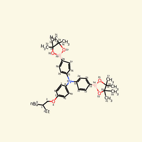 CCCCC(CC)COc1ccc(N(c2ccc(B3OC(C)(C)C(C)(C)O3)cc2)c2ccc(B3OC(C)(C)C(C)(C)O3)cc2)cc1